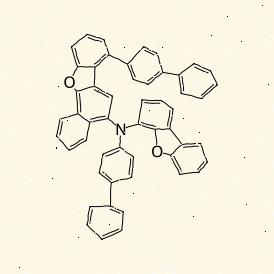 c1ccc(-c2ccc(-c3cccc4oc5c6ccccc6c(N(c6ccc(-c7ccccc7)cc6)c6cccc7c6oc6ccccc67)cc5c34)cc2)cc1